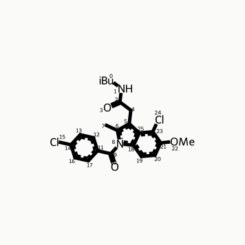 CCC(C)NC(=O)Cc1c(C)n(C(=O)c2ccc(Cl)cc2)c2ccc(OC)c(Cl)c12